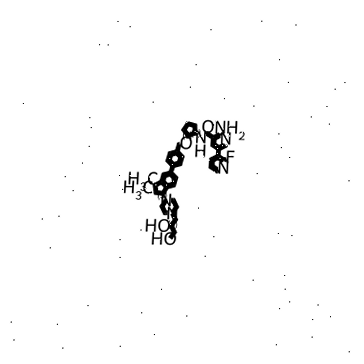 CC1(C)C[C@H](N2CCN(C[C@H](O)CO)CC2)c2ccc(-c3ccc(CO[C@H]4CCC[C@@H]4NC(=O)c4cc(-c5cccnc5F)cnc4N)cc3)cc21